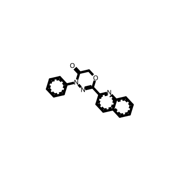 O=C1COC(c2ccc3ccccc3n2)=NN1c1ccccc1